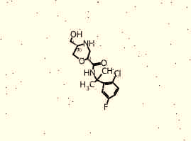 CC(C)(NC(=O)[C@@H]1CN[C@H](CO)CO1)c1cc(F)ccc1Cl